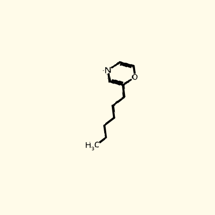 CCCCCCC1=C[N]C=CO1